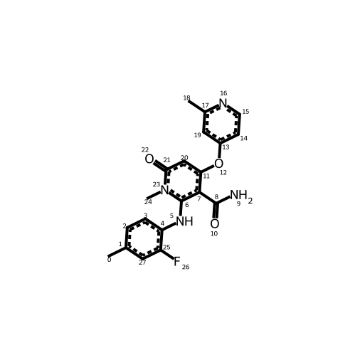 Cc1ccc(Nc2c(C(N)=O)c(Oc3ccnc(C)c3)cc(=O)n2C)c(F)c1